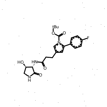 CC(C)(C)OC(=O)n1cc(CCC(=O)N[C@@H]2C(=O)NC[C@H]2O)cc1-c1ccc(F)cc1